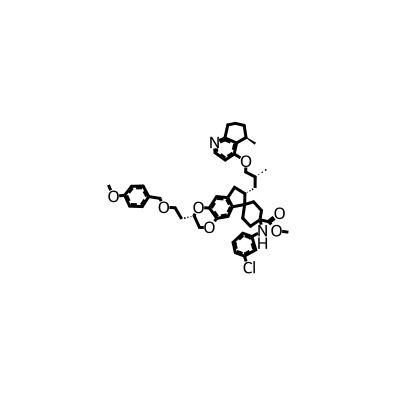 COC(=O)C1(Nc2cccc(Cl)c2)CCC2(CC1)c1cc3c(cc1C[C@@H]2C[C@@H](C)COc1ccnc2c1[C@H](C)CCC2)O[C@@H](CCOCc1ccc(OC)cc1)CO3